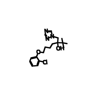 CC(C)(C)C(O)(CCCCOc1ccccc1Cl)Cn1cncn1